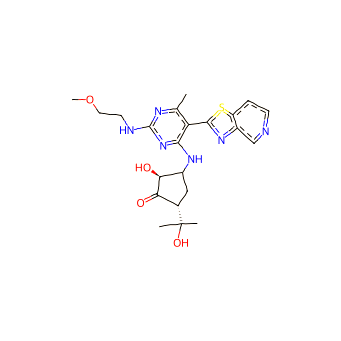 COCCNc1nc(C)c(-c2nc3cnccc3s2)c(NC2C[C@H](C(C)(C)O)C(=O)[C@H]2O)n1